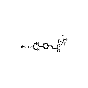 CCCCCc1cnc(-c2ccc(C=CC(=O)OCC(F)(F)C(F)F)cc2)nc1